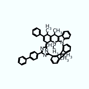 CC1C(c2ccccc2)=CC2(C)C3=C1C(C)c1c(n(c4ccccc14)-c1cccc4c1C(C)(C)c1c(cccc1-4)-c1nc(-c4ccc(-c5ccccc5)cc4)nc2n1)N3C